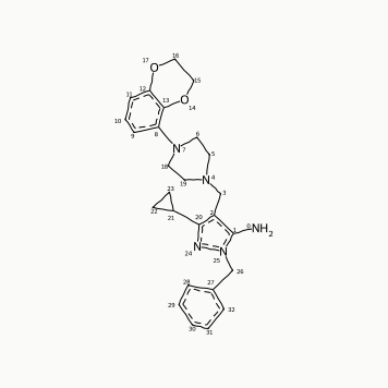 Nc1c(CN2CCN(c3cccc4c3OCCO4)CC2)c(C2CC2)nn1Cc1ccccc1